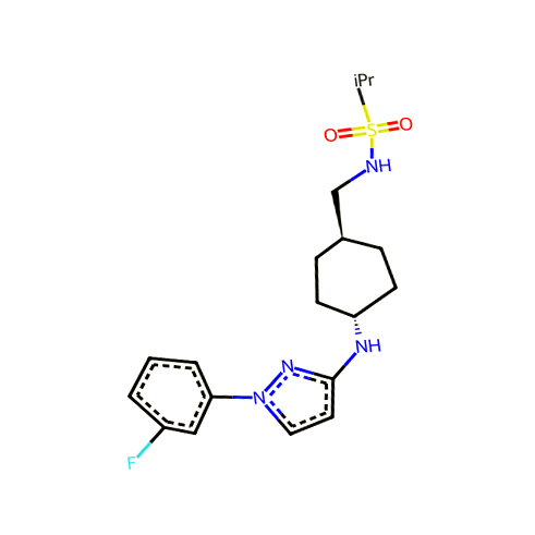 CC(C)S(=O)(=O)NC[C@H]1CC[C@H](Nc2ccn(-c3cccc(F)c3)n2)CC1